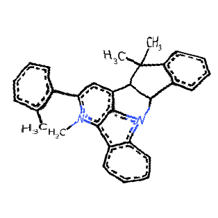 Cc1ccccc1-c1cc2c3c(c4ccccc4n3C3c4ccccc4C(C)(C)C23)[n+]1C